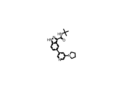 CC(C)(C)NC(=O)c1n[nH]c2ccc(-c3cncc(N4CCCC4)c3)cc12